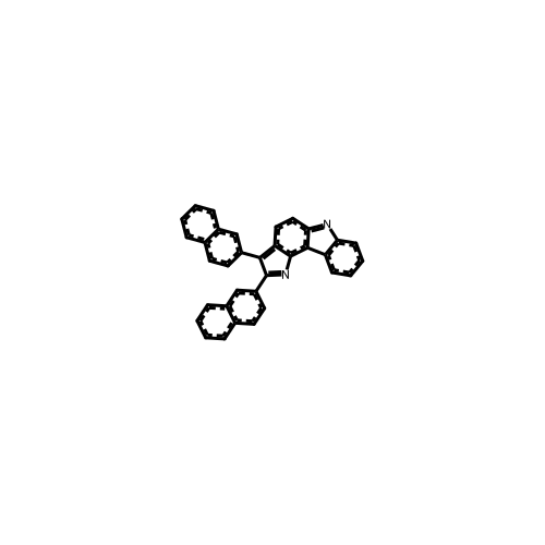 c1ccc2c(c1)N=c1ccc3c(c1-2)N=C(c1ccc2ccccc2c1)C=3c1ccc2ccccc2c1